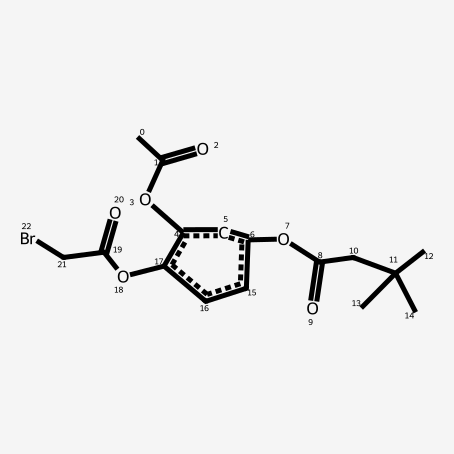 CC(=O)Oc1cc(OC(=O)CC(C)(C)C)ccc1OC(=O)CBr